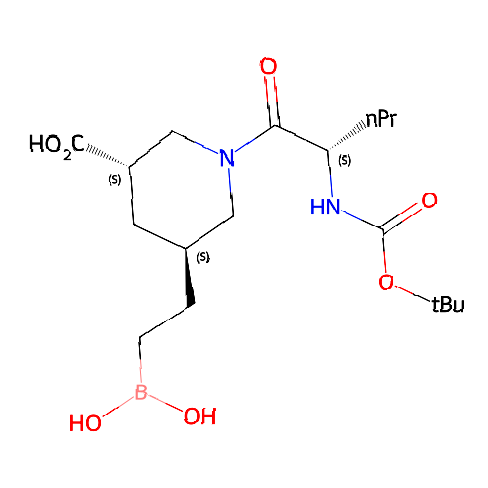 CCC[C@H](NC(=O)OC(C)(C)C)C(=O)N1C[C@@H](CCB(O)O)C[C@H](C(=O)O)C1